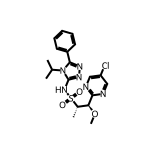 CO[C@H](c1ncc(Cl)cn1)[C@H](C)S(=O)(=O)Nc1nnc(-c2ccccc2)n1C(C)C